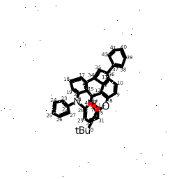 CC(C)(C)c1ccc2c(c1)Oc1ccc3c4c1C21c2c(cccc2N(c2ccccc2)c2cccc[n+]21)C4=CC3c1ccccc1